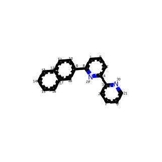 c1ccc(-c2cccc(-c3ccc4ccccc4c3)n2)nc1